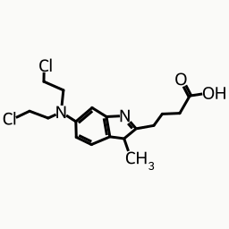 CC1C(CCCC(=O)O)=Nc2cc(N(CCCl)CCCl)ccc21